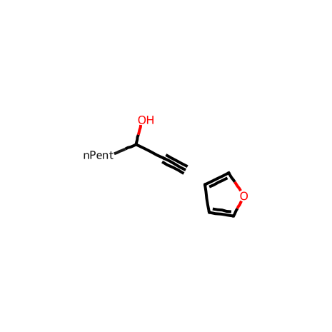 C#CC(O)CCCCC.c1ccoc1